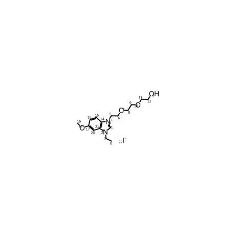 CCn1c[n+](CCOCCOCCO)c2ccc(OC)cc21.[I-]